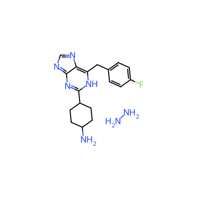 NC1CCC(c2nc3ncnc-3c(Cc3ccc(F)cc3)[nH]2)CC1.NN